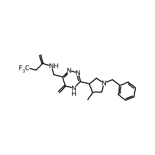 C=C(CC(F)(F)F)NCC1=NN=C(C2CN(Cc3ccccc3)CC2C)NC1=C